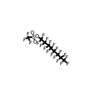 O=S(=O)(OC(F)(F)C(F)(F)C(F)(F)C(F)(F)C(F)(F)C(F)(F)C(F)(F)C(F)(F)F)C(F)(F)F